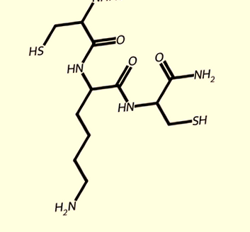 CC(=O)NC(CS)C(=O)NC(CCCCN)C(=O)NC(CS)C(N)=O